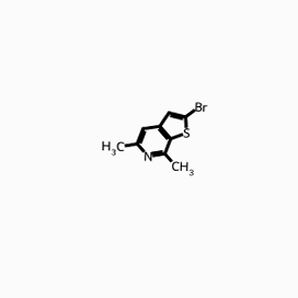 Cc1cc2cc(Br)sc2c(C)n1